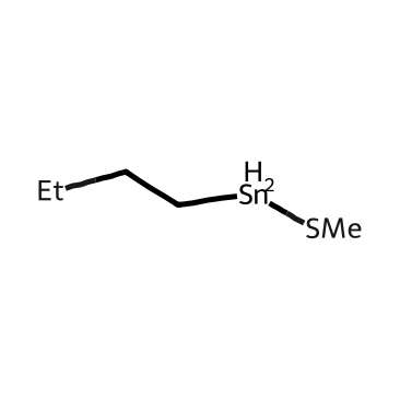 CCC[CH2][SnH2][S]C